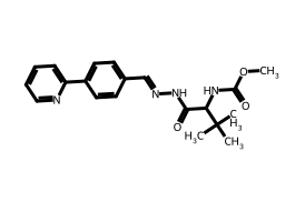 COC(=O)NC(C(=O)NN=Cc1ccc(-c2ccccn2)cc1)C(C)(C)C